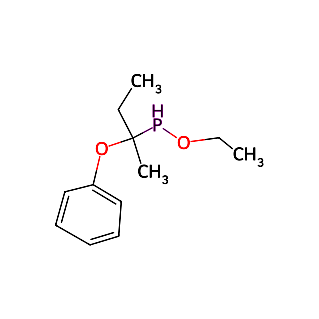 CCOPC(C)(CC)Oc1ccccc1